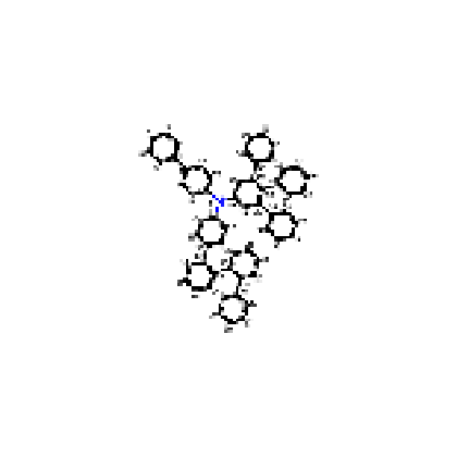 c1ccc(-c2ccc(N(c3ccc(-c4ccccc4-c4ccccc4-c4ccccc4)cc3)c3cc(-c4ccccc4)c(-c4ccccc4)c(-c4ccccc4)c3)cc2)cc1